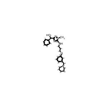 Cn1nc(C(O)c2ccccc2)nc1NCCCOc1cccc(CN2CCCCC2)c1